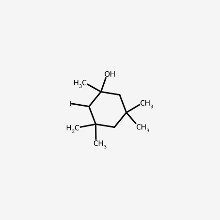 CC1(C)CC(C)(C)C(I)C(C)(O)C1